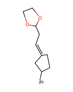 CC(C)C1CCC(=CCC2OCCO2)C1